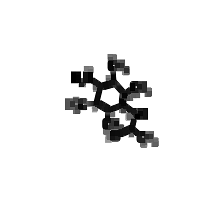 CC(=O)Nc1c(C)c(C)c(N)c(C)c1C